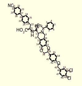 CCC[C@@H](c1ccccc1)N1Cc2cc3c(cc2C[C@H]1C(=O)NC(Cc1ccc(-c2ccc(C#N)cc2)cc1)C(=O)O)OC[C@H](c1ccc(OCc2ccc(Cl)c(Cl)c2)cc1)O3